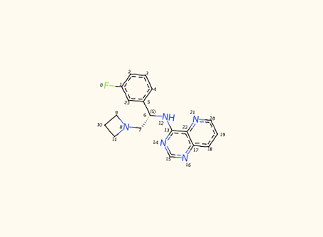 Fc1cccc([C@@H](CN2CCC2)Nc2ncnc3cccnc23)c1